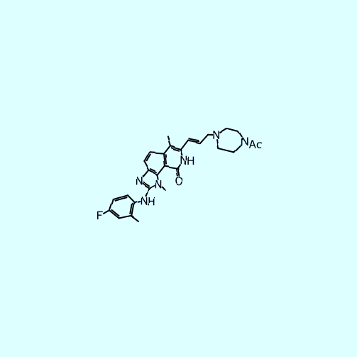 CC(=O)N1CCN(CC=Cc2[nH]c(=O)c3c(ccc4nc(Nc5ccc(F)cc5C)n(C)c43)c2C)CC1